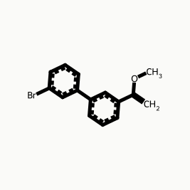 C=C(OC)c1cccc(-c2cccc(Br)c2)c1